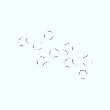 C1=Cc2c(c3ccccc3n2-c2cccc3c2oc2cccc(-c4ccc5c(c4)oc4cccc(C6=NC(c7ccccc7)NC(c7ccccc7)=N6)c45)c23)CC1